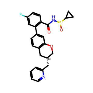 O=C(N[S+]([O-])C1CC1)c1ccc(F)cc1-c1ccc2c(c1)OC[C@H](Cc1ccccn1)C2